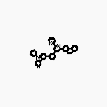 c1ccc(-n2c3ccncc3c3cc(-c4cccc(-c5cc(-c6ccc7c(ccc8ccccc87)c6)nc(-c6ccccn6)c5)c4)ccc32)cc1